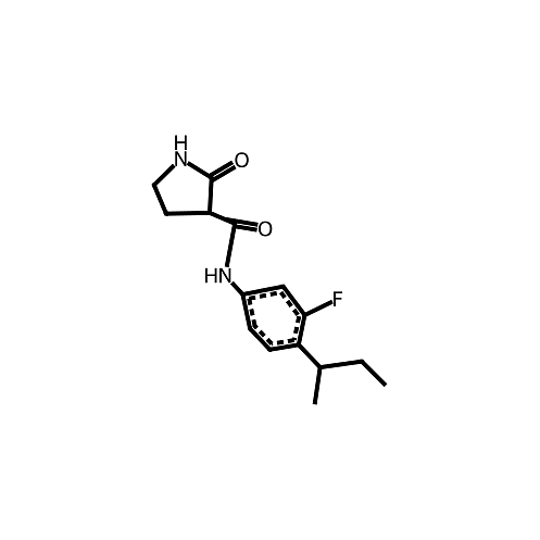 CCC(C)c1ccc(NC(=O)C2CCNC2=O)cc1F